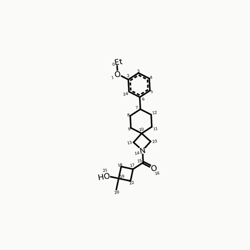 CCOc1cccc(C2CCC3(CC2)CN(C(=O)C2CC(C)(O)C2)C3)c1